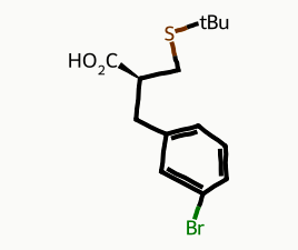 CC(C)(C)SC[C@@H](Cc1cccc(Br)c1)C(=O)O